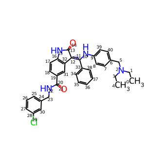 CCN(CC)Cc1ccc(N/C(=C2\C(=O)Nc3ccc(C(=O)NCc4cccc(Cl)c4)cc32)c2ccccc2)cc1